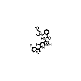 CCN(CCOC)Cc1ccccc1C(=O)Nc1n[nH]c2nc(-c3cnn4ccc(F)cc34)c(F)cc12